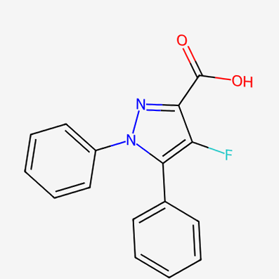 O=C(O)c1nn(-c2ccccc2)c(-c2ccccc2)c1F